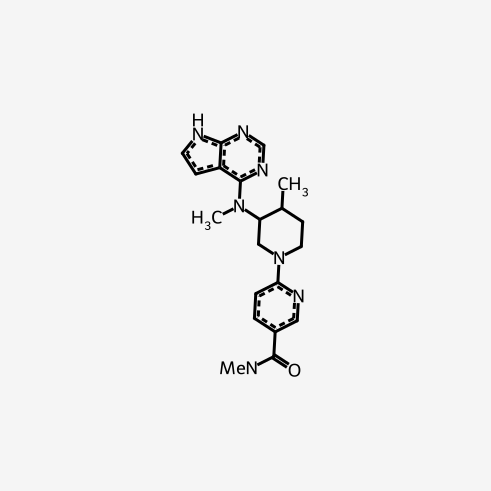 CNC(=O)c1ccc(N2CCC(C)C(N(C)c3ncnc4[nH]ccc34)C2)nc1